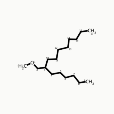 [CH2]OCC(CCCCCC)CCCCCCCC